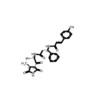 CC(C)[C@H](NC(=O)C[C@H](NC(=O)/C=C/c1ccc(C#N)cc1)c1ccccc1)C(=O)[C@@H]1C(=O)NC(=O)[C@H]1C